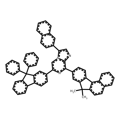 CC1(C)c2cc(-c3nc(-c4ccc5c(c4)C(c4ccccc4)(c4ccccc4)c4ccccc4-5)cn4c(-c5ccc6ccccc6c5)cnc34)ccc2-c2c1ccc1ccccc21